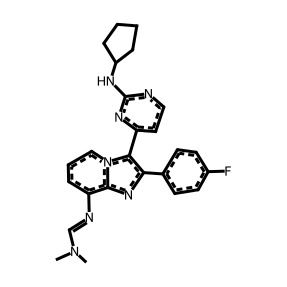 CN(C)C=Nc1cccn2c(-c3ccnc(NC4CCCC4)n3)c(-c3ccc(F)cc3)nc12